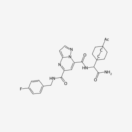 CC(=O)C12CCC(C(NC(=O)c3cc(C(=O)NCc4ccc(F)cc4)nc4ccnn34)C(N)=O)(CC1)CC2